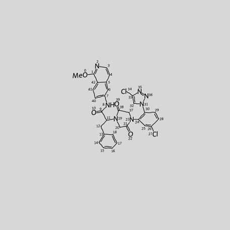 COc1nccc2cc(NC(=O)C(Cc3ccccc3)N3CC(=O)N(c4cc(Cl)ccc4-n4cc(Cl)nn4)CC3=O)ccc12